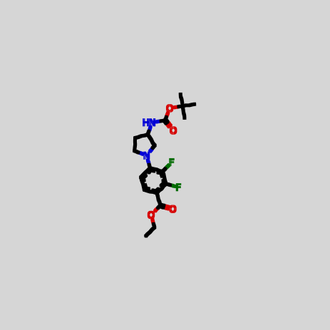 CCOC(=O)c1ccc(N2CCC(NC(=O)OC(C)(C)C)C2)c(F)c1F